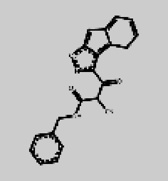 N#CC(C(=O)NCc1ccccc1)C(=O)c1noc2c1=C1CC=CC=C1C=2